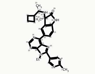 CCn1c(-c2cnc(C)nc2)nc2c(-c3ccc4c(c3)[C@@](C)(N[C@@H](C)C3CCC3)C(=O)N4)ncnc21